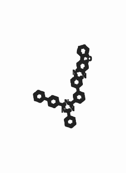 c1ccc(-c2ccc(-c3nc(-c4ccccc4)nc(-c4cccc(-c5ccc6nc7cc8c(cc7nc6c5)oc5ccccc58)c4)n3)cc2)cc1